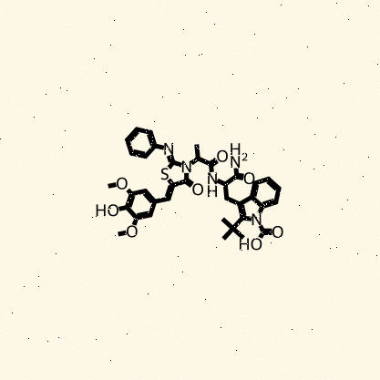 COc1cc(C=C2SC(=Nc3ccccc3)N(C(C)C(=O)NC(Cc3c(C(C)(C)C)n(C(=O)O)c4ccccc34)C(N)=O)C2=O)cc(OC)c1O